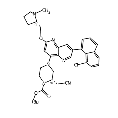 CN1CCC[C@H]1COc1cc(N2CCN(C(=O)OC(C)(C)C)[C@@H](CC#N)C2)c2ncc(-c3cccc4cccc(Cl)c34)cc2n1